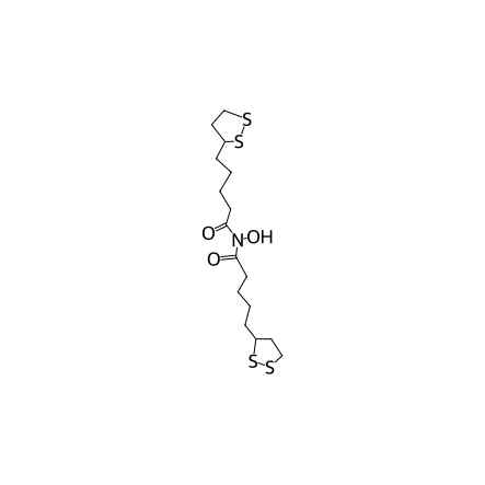 O=C(CCCCC1CCSS1)N(O)C(=O)CCCCC1CCSS1